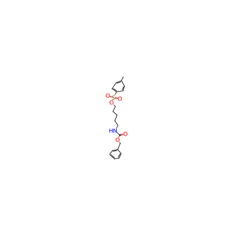 Cc1ccc(S(=O)(=O)OCCCCCNC(=O)OCc2ccccc2)cc1